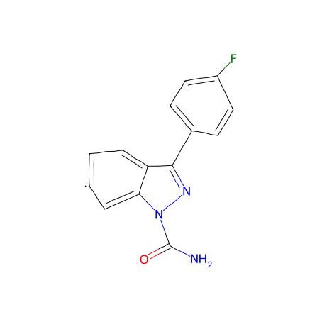 NC(=O)n1nc(-c2ccc(F)cc2)c2cc[c]cc21